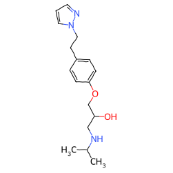 CC(C)NCC(O)COc1ccc(CCn2cccn2)cc1